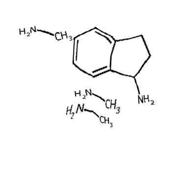 CN.CN.CN.NC1CCc2ccccc21